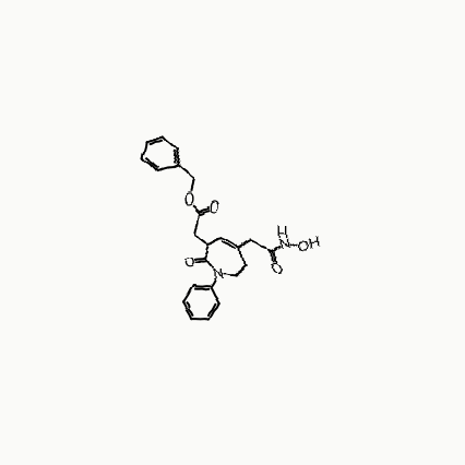 O=C(CC1=CC(CC(=O)OCc2ccccc2)C(=O)N(c2ccccc2)CC1)NO